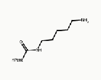 [CH2]CCCCC(=O)NCCCCCN